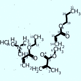 C=C(C)C(=O)OC.C=CC(=O)OCC.C=CC(=O)OCCC.CN(C)C.Cl